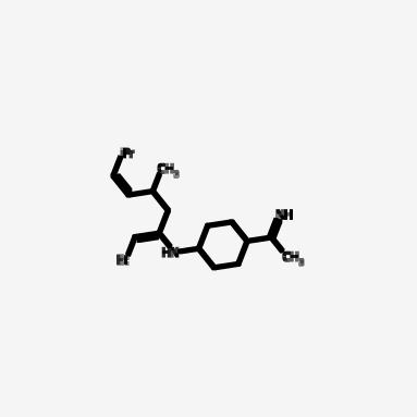 CC/C=C(/CC(C)/C=C\C(C)C)NC1CCC(C(C)=N)CC1